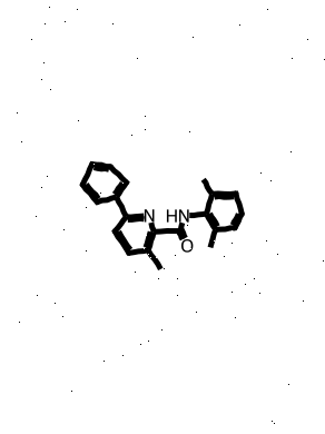 Cc1ccc(-c2ccccc2)nc1C(=O)Nc1c(C)cccc1C